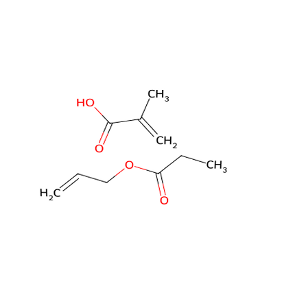 C=C(C)C(=O)O.C=CCOC(=O)CC